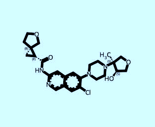 C[C@]1(N2CCN(c3cc4cc(NC(=O)[C@@H]5C[C@@]56CCOC6)ncc4cc3Cl)CC2)COC[C@H]1O